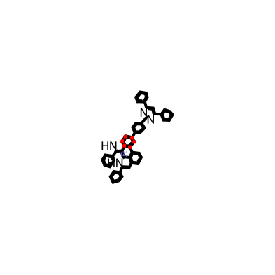 N=C(/C(=C1\NC(c2ccccc2)=Cc2cccc(C3=CC(c4ccc(-c5nc(-c6ccccc6)cc(-c6ccccc6)n5)cc4)CC=C3)c21)c1ccccc1)c1ccccc1